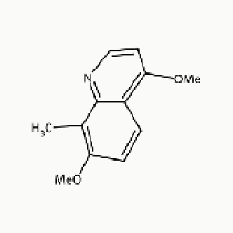 COc1ccc2c(OC)ccnc2c1C